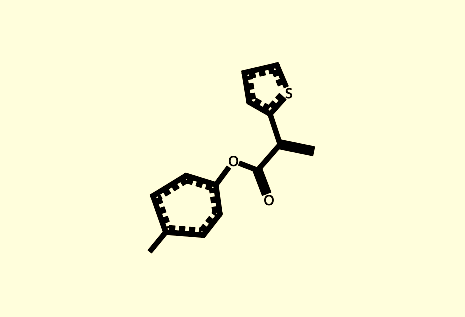 C=C(C(=O)Oc1ccc(C)cc1)c1cccs1